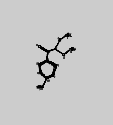 CCCCOC(OCCCC)C(=O)c1ccc(C(C)(C)C)cc1